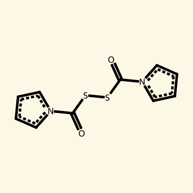 O=C(SSC(=O)n1cccc1)n1cccc1